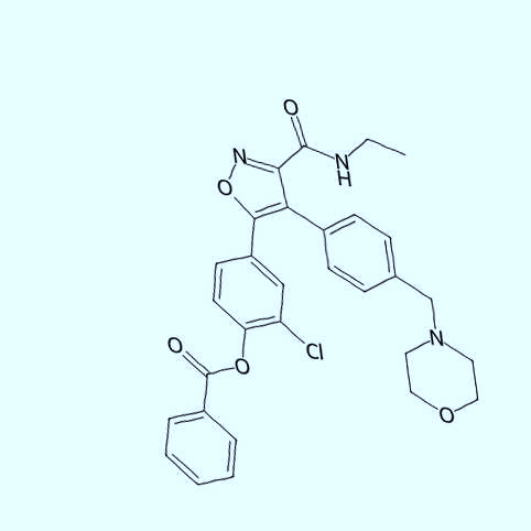 CCNC(=O)c1noc(-c2ccc(OC(=O)c3ccccc3)c(Cl)c2)c1-c1ccc(CN2CCOCC2)cc1